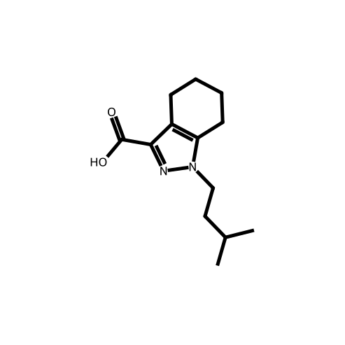 CC(C)CCn1nc(C(=O)O)c2c1CCCC2